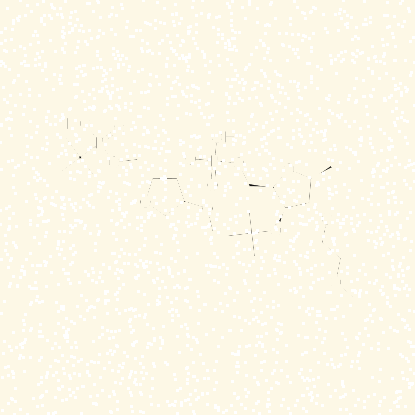 COCCOC1[C@H](C)O[C@H](COP(=O)(O)O[C@@H]2C(OC)[C@H](C)O[C@@H]2COP(=O)(O)C(C)(C)C)[C@@H]1OC(C)(C)C